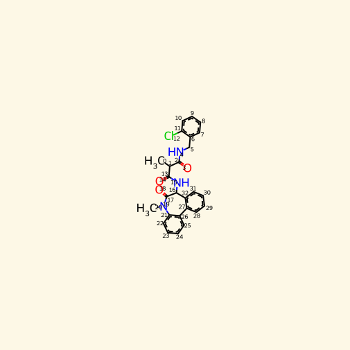 CC(C(=O)NCc1ccccc1Cl)C(=O)NC1C(=O)N(C)c2ccccc2-c2ccccc21